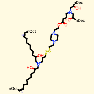 CCCCCCCC/C=C\CCCCCCC(O)CN(CCCSSCCN1CCN(CCOC(=O)CCCN(CC(O)CCCCCCCCCC)CC(O)CCCCCCCCCC)CC1)CC(O)CCCCCC/C=C\CCCCCCCC